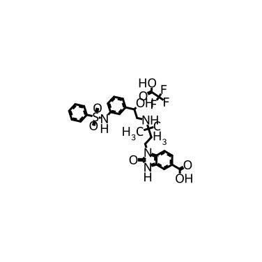 CC(C)(CCn1c(=O)[nH]c2cc(C(=O)O)ccc21)NCC(O)c1cccc(NS(=O)(=O)c2ccccc2)c1.O=C(O)C(F)(F)F